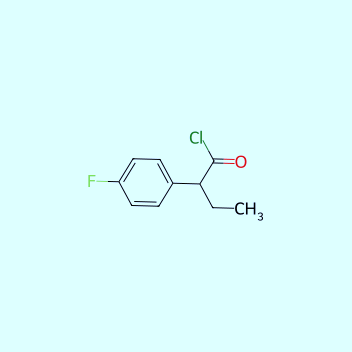 CCC(C(=O)Cl)c1ccc(F)cc1